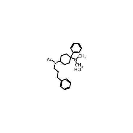 CC(=O)N(CCCc1ccccc1)C1CCC(c2ccccc2)(N(C)C)CC1.Cl